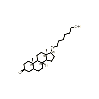 C[C@]12CCC(=O)CC1CC[C@@H]1C2CC[C@@]2(C)C1CC[C@@H]2OCCCCCCO